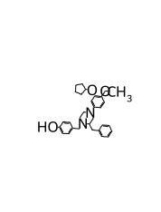 COc1ccc(N2CCN(Cc3ccc(O)cc3)C(Cc3ccccc3)C2)cc1OC1CCCC1